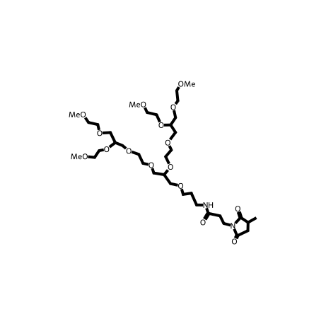 COCCOCC(COCCOCC(COCCCNC(=O)CCN1C(=O)CC(C)C1=O)OCCOCC(COCCOC)OCCOC)OCCOC